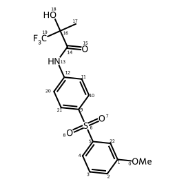 COc1cccc(S(=O)(=O)c2ccc(NC(=O)C(C)(O)C(F)(F)F)cc2)c1